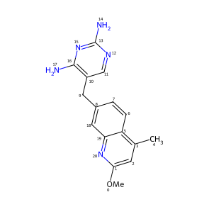 COc1cc(C)c2ccc(Cc3cnc(N)nc3N)cc2n1